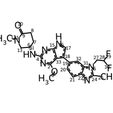 COc1nc(N[C@H]2CCC(=O)N(C)C2)nc2[nH]cc(-c3ccc4nc(C)n(CC(F)F)c4c3)c12